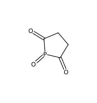 O=C1CCC(=O)[P]1=O